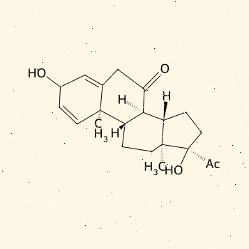 CC(=O)[C@@]1(O)CC[C@H]2[C@@H]3C(=O)CC4=CC(O)C=C[C@]4(C)[C@H]3CC[C@@]21C